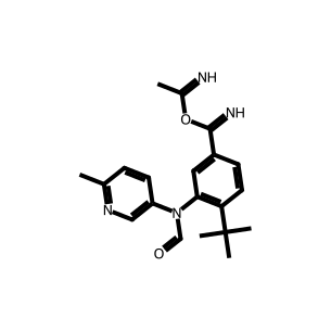 CC(=N)OC(=N)c1ccc(C(C)(C)C)c(N(C=O)c2ccc(C)nc2)c1